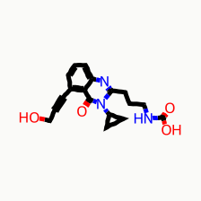 O=C(O)NCCCc1nc2cccc(C#CCO)c2c(=O)n1C1CC1